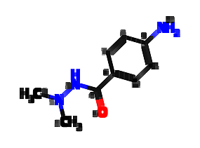 CN(C)NC(=O)c1ccc(N)cc1